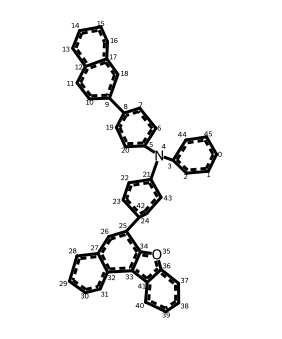 c1ccc(N(c2ccc(-c3ccc4ccccc4c3)cc2)c2ccc(-c3cc4ccccc4c4c3oc3ccccc34)cc2)cc1